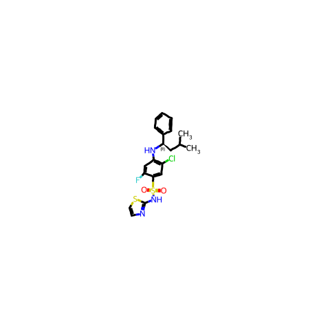 CC(C)C[C@@H](Nc1cc(F)c(S(=O)(=O)Nc2nccs2)cc1Cl)c1ccccc1